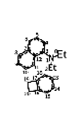 CCN(CC)c1cccc2ccccc12.c1ccc2c(c1)CC2